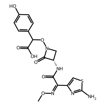 CO/N=C(\C(=O)N[C@H]1CN(OC(C(=O)O)c2ccc(O)cc2)C1=O)c1csc(N)n1